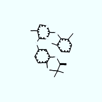 Cc1cccc(C)c1Nc1ncc(F)c(Nc2ccc3c(c2)NC(=O)C(C)(C)O3)n1